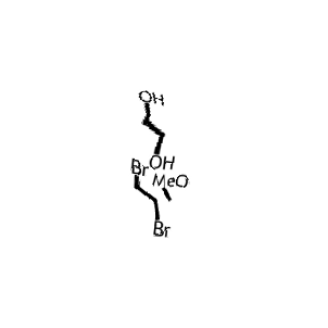 BrCCBr.COC.OCCO